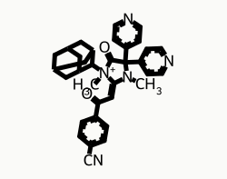 CN1C(=CC(=O)c2ccc(C#N)cc2)[N+](C)(C2C3CC4CC(C3)CC2C4)C(=O)C1(c1ccncc1)c1ccncc1